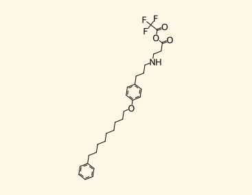 O=C(CCNCCCc1ccc(OCCCCCCCCCc2ccccc2)cc1)OC(=O)C(F)(F)F